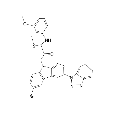 COc1cccc(NC(SC)C(=O)Cn2c3ccc(Br)cc3c3cc(-n4nnc5ccccc54)ccc32)c1